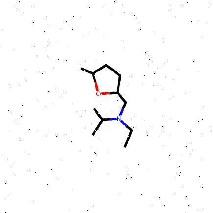 CCN(CC1CCC(C)O1)C(C)C